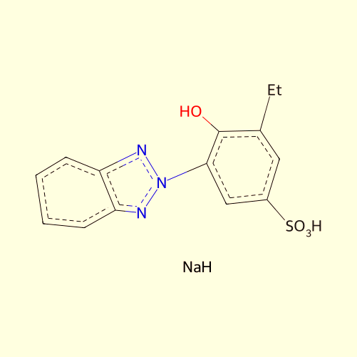 CCc1cc(S(=O)(=O)O)cc(-n2nc3ccccc3n2)c1O.[NaH]